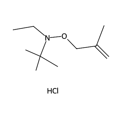 C=C(C)CON(CC)C(C)(C)C.Cl